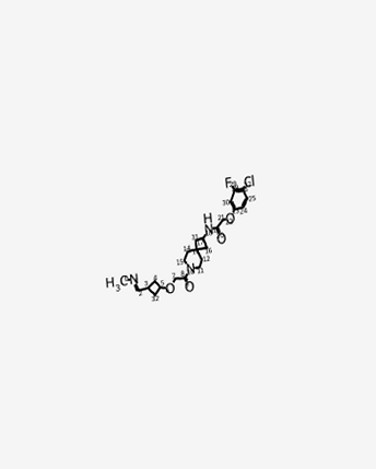 CN=CC1CC(OCC(=O)N2CCC3(CC2)CC(NC(=O)COc2ccc(Cl)c(F)c2)C3)C1